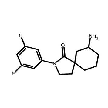 NC1CCCC2(CCN(c3cc(F)cc(F)c3)C2=O)C1